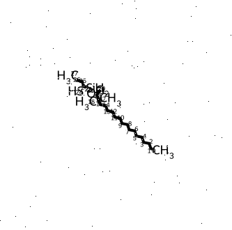 CCCCCCCCCCCCCCCCC(C)(C)C(=O)O[SiH2]C(S)CCC